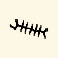 O=C(OI)C(I)(I)C(I)(I)C(I)(I)C(I)(I)C(I)(I)C(Cl)I